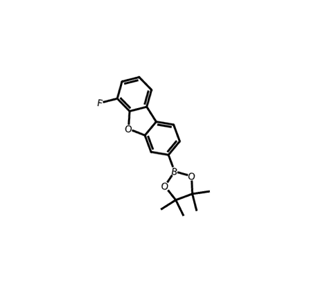 CC1(C)OB(c2ccc3c(c2)oc2c(F)cccc23)OC1(C)C